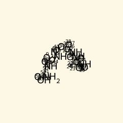 COc1cc(Nc2cc(Oc3ccc(NC(=O)Nc4cc(C(C)(C)C)cc(NS(C)(=O)=O)c4OC)c4ccccc34)ccn2)ccc1C(=O)NCCC[C@@H](N)C(=O)O